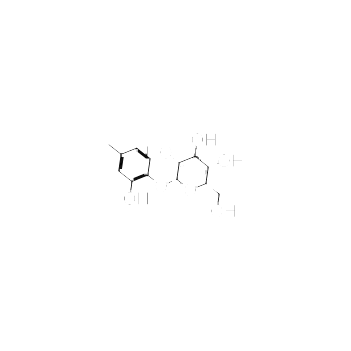 Cc1ccc(O[C@@H]2O[C@H](CO)[C@@H](O)[C@H](O)[C@H]2O)c(O)c1